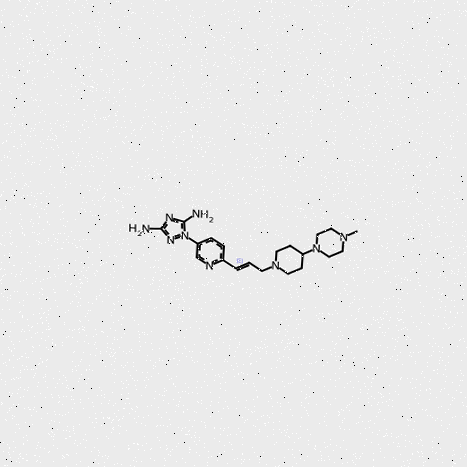 CN1CCN(C2CCN(C/C=C/c3ccc(-n4nc(N)nc4N)cn3)CC2)CC1